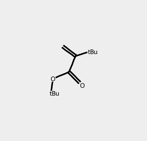 C=C(C(=O)OC(C)(C)C)C(C)(C)C